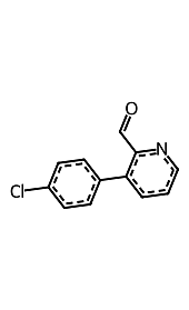 O=Cc1ncccc1-c1ccc(Cl)cc1